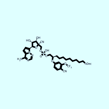 CCCCCCCCCCCCCCCCCCC[C@H](COP(=O)(O)OC[C@@]1(C#N)O[C@@H](c2ccc3c(N)ncnn23)[C@H](O)[C@@H]1O)Oc1ccc(C#N)c(OC(F)(F)F)c1